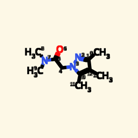 Cc1nn(CC(=O)N(C)C)c(C)c1C